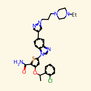 CCN1CCN(CCCn2cc(-c3ccc4c(c3)ncn4-c3cc(OC(C)c4ccccc4Cl)c(C(N)=O)s3)cn2)CC1